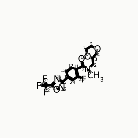 CN(CC1COCCO1)C(=O)c1ccc(-c2noc(C(F)(F)F)n2)cc1F